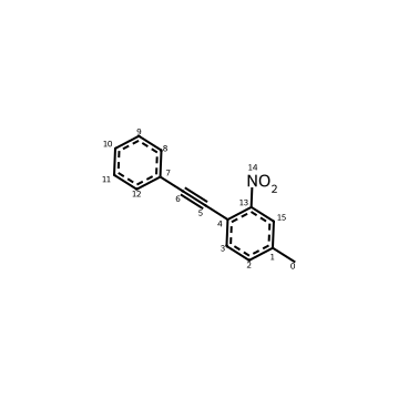 Cc1ccc(C#Cc2ccccc2)c([N+](=O)[O-])c1